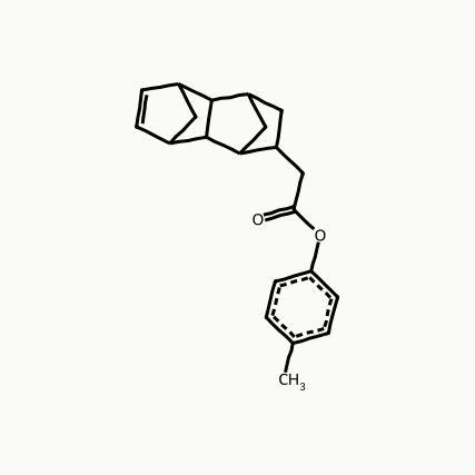 Cc1ccc(OC(=O)CC2CC3CC2C2C4C=CC(C4)C32)cc1